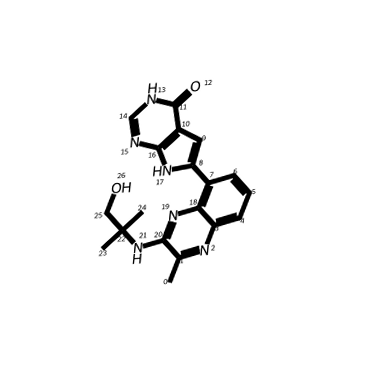 Cc1nc2cccc(-c3cc4c(=O)[nH]cnc4[nH]3)c2nc1NC(C)(C)CO